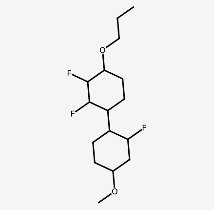 CCCOC1CCC(C2CCC(OC)CC2F)C(F)C1F